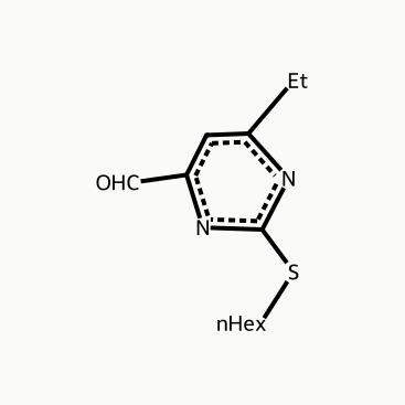 CCCCCCSc1nc(C=O)cc(CC)n1